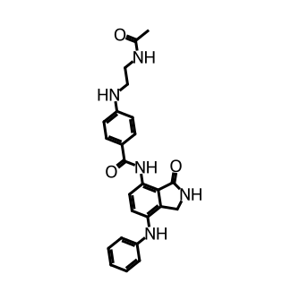 CC(=O)NCCNc1ccc(C(=O)Nc2ccc(Nc3ccccc3)c3c2C(=O)NC3)cc1